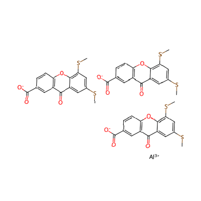 CSc1cc(SC)c2oc3ccc(C(=O)[O-])cc3c(=O)c2c1.CSc1cc(SC)c2oc3ccc(C(=O)[O-])cc3c(=O)c2c1.CSc1cc(SC)c2oc3ccc(C(=O)[O-])cc3c(=O)c2c1.[Al+3]